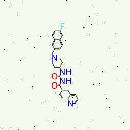 O=C(NC(=O)c1ccc2ncccc2c1)NC1CCN(Cc2ccc3cc(F)ccc3c2)CC1